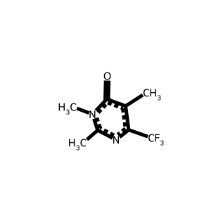 Cc1c(C(F)(F)F)nc(C)n(C)c1=O